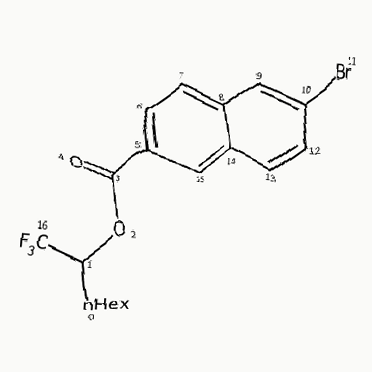 CCCCCCC(OC(=O)c1ccc2cc(Br)ccc2c1)C(F)(F)F